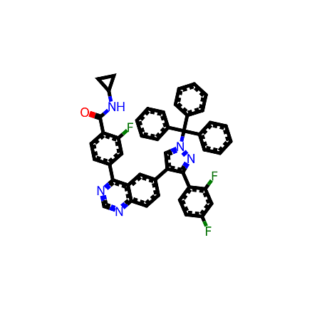 O=C(NC1CC1)c1ccc(-c2ncnc3ccc(-c4cn(C(c5ccccc5)(c5ccccc5)c5ccccc5)nc4-c4ccc(F)cc4F)cc23)cc1F